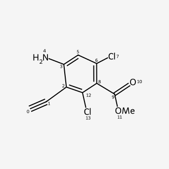 C#Cc1c(N)cc(Cl)c(C(=O)OC)c1Cl